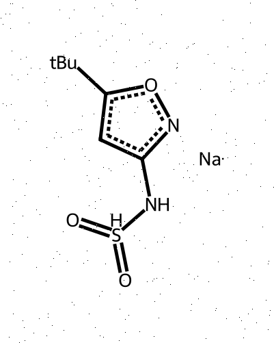 CC(C)(C)c1cc(N[SH](=O)=O)no1.[Na]